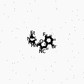 CCc1nnc(NC(=O)C(C#N)=Cc2cc(F)ccc2Br)s1